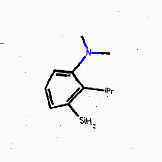 CC(C)c1c([SiH3])cccc1N(C)C